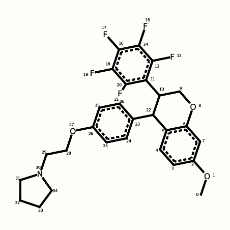 COc1ccc2c(c1)OCC(c1c(F)c(F)c(F)c(F)c1F)C2c1ccc(OCCN2CCCC2)cc1